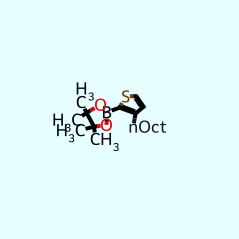 CCCCCCCCc1ccsc1B1OC(C)(C)C(C)(C)O1